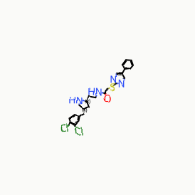 O=C(CSc1ncc(-c2ccccc2)cn1)NCC[C@H]1C[C@H](Cc2ccc(Cl)c(Cl)c2)CN1